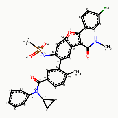 CNC(=O)c1c(-c2ccc(F)cc2)oc2cc(NS(C)(=O)=O)c(-c3cc(C(=O)N(c4ccccc4)C4CC4)ccc3C)cc12